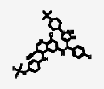 CC(C)(C)N1CCC(N2C=C([C@@H](Nc3cc(Cl)c4ncc(C#N)c(Nc5ccc(OC(F)(F)F)cc5)c4c3)c3ccc(Cl)cc3)NN2)CC1